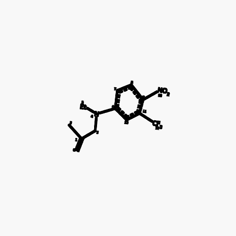 C=C(C)CN(CC)c1ccc([N+](=O)[O-])c(C(F)(F)F)c1